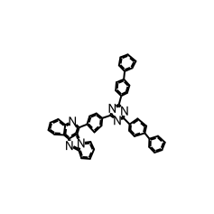 c1ccc(-c2ccc(-c3nc(-c4ccc(-c5ccccc5)cc4)nc(-c4ccc(-c5nc6ccccc6c6nc7ccccn7c56)cc4)n3)cc2)cc1